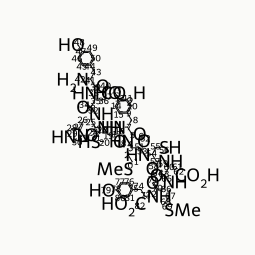 CSCC[C@H](NC(=O)[C@H](Cc1ccc(O)cc1)NC(=O)[C@H](CS)NC(=O)[C@H](Cc1c[nH]cn1)NC(=O)[C@H](CC(=O)O)NC(=O)[C@@H](N)Cc1ccc(O)cc1)C(=O)N[C@@H](CS)C(=O)N[C@H](CC(=O)O)C(=O)N[C@H](CCSC)C(=O)N[C@H](Cc1ccc(O)cc1)C(=O)O